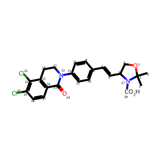 CC1(C)OCC(C=Cc2ccc(N3CCc4c(ccc(Cl)c4Cl)C3=O)cc2)N1C(=O)O